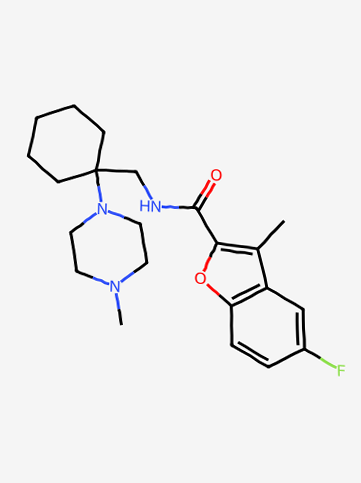 Cc1c(C(=O)NCC2(N3CCN(C)CC3)CCCCC2)oc2ccc(F)cc12